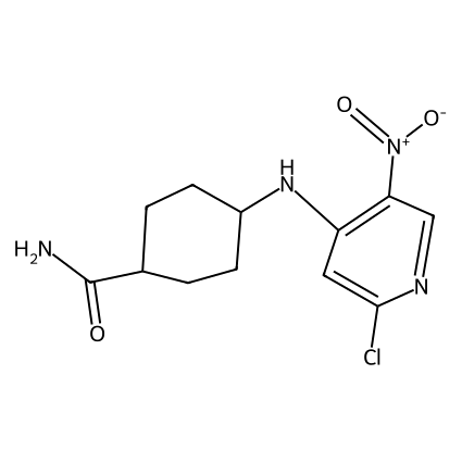 NC(=O)C1CCC(Nc2cc(Cl)ncc2[N+](=O)[O-])CC1